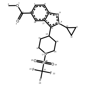 COC(=O)c1ccc2nn(C3CC3)c(C3CCN(S(=O)(=O)C(F)(F)F)CC3)c2c1